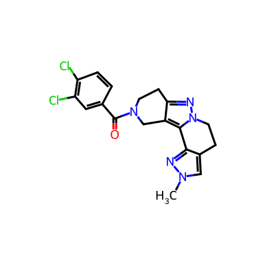 Cn1cc2c(n1)-c1c3c(nn1CC2)CCN(C(=O)c1ccc(Cl)c(Cl)c1)C3